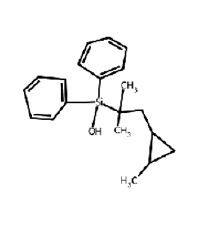 CC1CC1CC(C)(C)[Si](O)(c1ccccc1)c1ccccc1